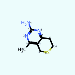 Cc1nc(N)nc2c1CSCC2